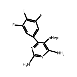 CCCCCCCc1c(N)nc(N)nc1-c1cc(F)c(F)c(F)c1